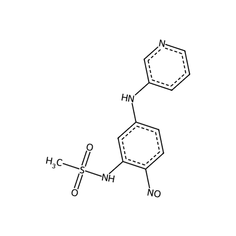 CS(=O)(=O)Nc1cc(Nc2cccnc2)ccc1N=O